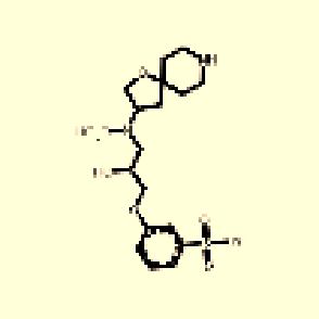 CC(C)S(=O)(=O)c1cccc(OCC(O)CN(C(=O)O)C2COC3(CCNCC3)C2)c1